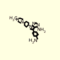 CN1CCN([C@H]2CC[C@@H](n3cc(-c4ccc(CN)cc4)c4c(N)ncnc43)CC2)CC1